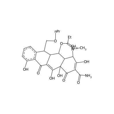 CCCOCC1c2cccc(O)c2C(=O)C2=C(O)C3(O)C(=O)C(C(N)=O)=C(O)C(N(C)C)C3C(OC(=O)CC)C21